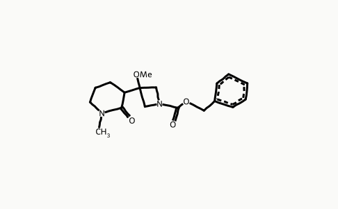 COC1(C2CCCN(C)C2=O)CN(C(=O)OCc2ccccc2)C1